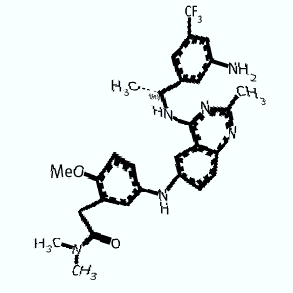 COc1ccc(Nc2ccc3nc(C)nc(N[C@H](C)c4cc(N)cc(C(F)(F)F)c4)c3c2)cc1CC(=O)N(C)C